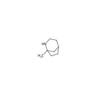 CC12CCC(CCN1)C2